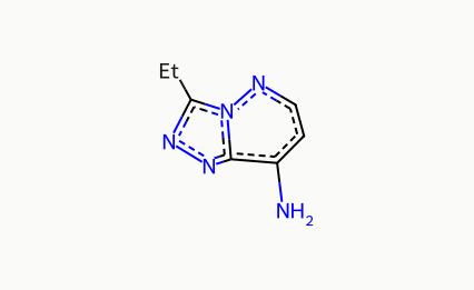 CCc1nnc2c(N)ccnn12